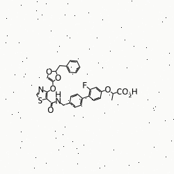 CC(Oc1ccc(-c2ccc(CNC(=O)c3scnc3OC3=COC(Cc4ccccc4)O3)cc2)c(F)c1)C(=O)O